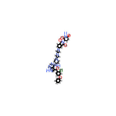 O=C1CCC(N2C(=O)c3ccc(N4CC(N5CC(N6CCC(Nc7ncnc8[nH]cc(C(=O)c9ccc(Oc%10ccccc%10)cc9Cl)c78)CC6)C5)C4)cc3C2=O)C(=O)N1